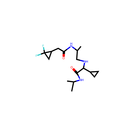 CC(C)NC(=O)C(NCC(C)NC(=O)CC1CC1(F)F)C1CC1